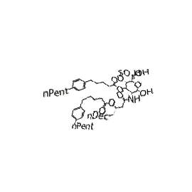 CCCCCCCCCCC[C@@H](CC(=O)N[C@H]1C(O)O[C@H](CO)[C@@H](OS(=O)(=O)O)[C@@H]1OC(=O)CCCCc1ccc(CCCCC)cc1)OC(=O)CCCCc1ccc(CCCCC)cc1